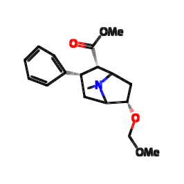 COCO[C@H]1CC2[C@@H](C(=O)OC)[C@@H](c3ccccc3)CC1N2C